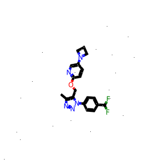 Cc1nnn(-c2ccc(C(F)F)cc2)c1COc1ccc(N2C[CH]C2)cn1